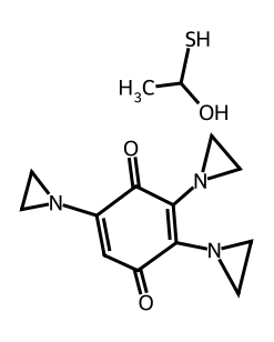 CC(O)S.O=C1C=C(N2CC2)C(=O)C(N2CC2)=C1N1CC1